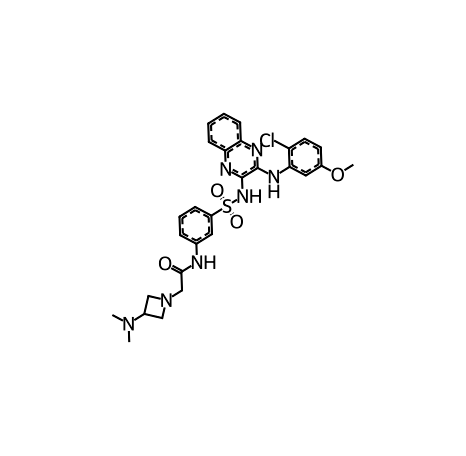 COc1ccc(Cl)c(Nc2nc3ccccc3nc2NS(=O)(=O)c2cccc(NC(=O)CN3CC(N(C)C)C3)c2)c1